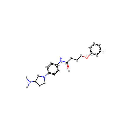 CN(C)C1CCN(c2ccc(NC(=O)CCCOc3ccccc3)cc2)C1